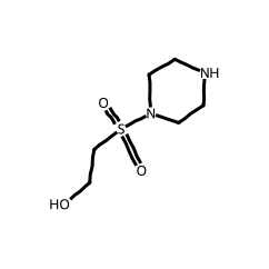 O=S(=O)(CCO)N1CCNCC1